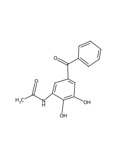 CC(=O)Nc1cc(C(=O)c2ccccc2)cc(O)c1O